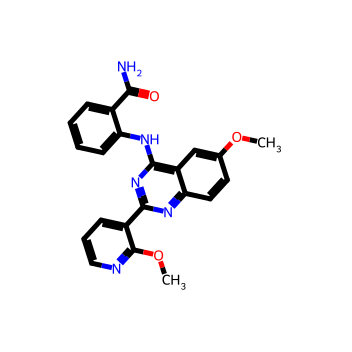 COc1ccc2nc(-c3cccnc3OC)nc(Nc3ccccc3C(N)=O)c2c1